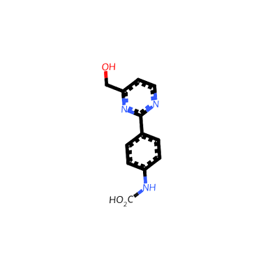 O=C(O)Nc1ccc(-c2nccc(CO)n2)cc1